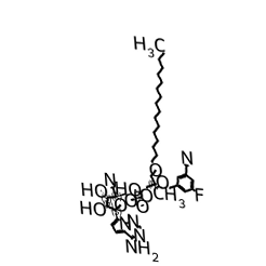 CCCCCCCCCCCCCCCCCOC[C@](C)(COP(=O)(O)OC[C@@]1(C#N)O[C@@H](c2ccc3c(N)ncnn23)[C@H](O)[C@@H]1O)OCc1cc(F)cc(C#N)c1